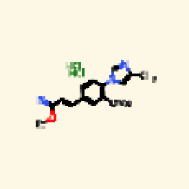 CCOC(=N)/C=C/c1ccc(-n2cnc(C)c2)c(OC)c1.Cl.Cl